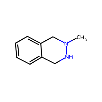 CN1Cc2ccccc2CN1